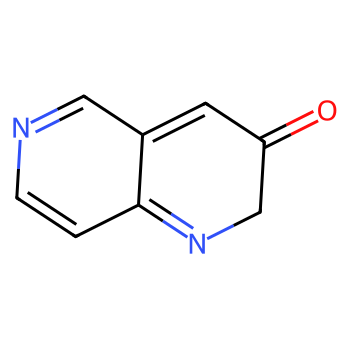 O=C1C=c2cnccc2=NC1